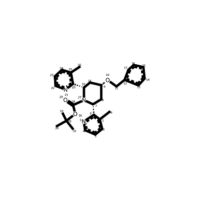 Cc1cccnc1[C@H]1C[C@@H](OCc2ccccc2)C[C@@H](c2ncccc2C)N1C(=O)OC(C)(C)C